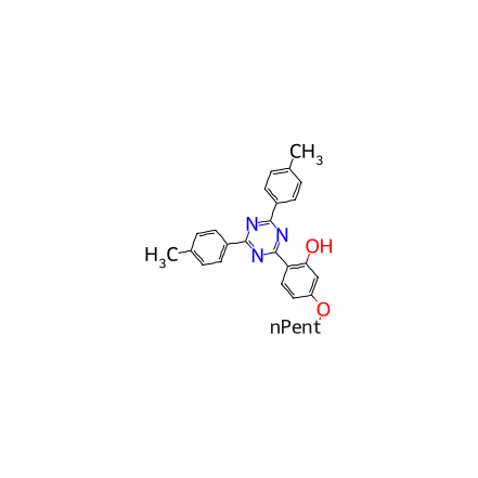 CCCCCOc1ccc(-c2nc(-c3ccc(C)cc3)nc(-c3ccc(C)cc3)n2)c(O)c1